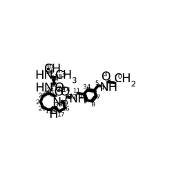 C=CC(=O)NCc1cccc(CNC(=O)[C@@H]2CC[C@@H]3CCCC[C@H](NC(=O)[C@H](C)NC)C(=O)N32)c1